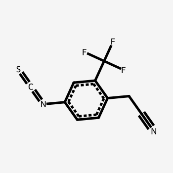 N#CCc1ccc(N=C=S)cc1C(F)(F)F